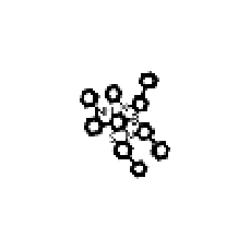 c1ccc(Nc2ccccc2-c2cc3c4c5c2Sc2ccc(-c6ccccc6)cc2N5c2cc(-c5ccccc5)ccc2B4c2ccc(-c4ccccc4)cc2N3c2ccccc2)cc1